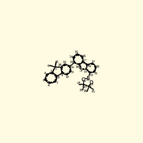 CC1(C)c2ccccc2-c2ccc(-c3cccc4c3sc3c(B5OC(C)(C)C(C)(C)O5)cccc34)cc21